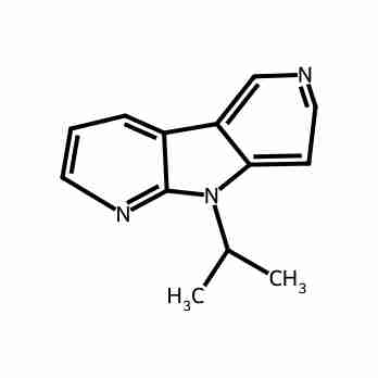 CC(C)n1c2ccncc2c2cccnc21